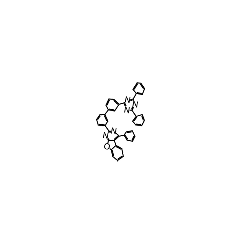 c1ccc(-c2nc(-c3ccccc3)nc(-c3cccc(-c4cccc(-c5nc(-c6ccccc6)c6c(n5)oc5ccccc56)c4)c3)n2)cc1